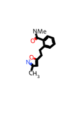 CNC(=O)c1ccccc1CCc1cc(C)no1